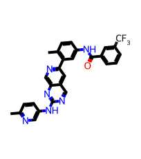 Cc1ccc(Nc2ncc3cc(-c4cc(NC(=O)c5cccc(C(F)(F)F)c5)ccc4C)ncc3n2)cn1